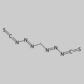 S=C=NN=N[CH]N=NN=C=S